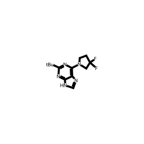 CC(C)(C)c1nc(N2CCC(F)(F)C2)c2nc[nH]c2n1